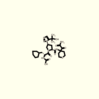 CC(C)(O)c1cnnn1[C@H]1C[C@@H](C(=O)NC2(C(=O)C(N)=O)CCSCC2)N(C(=O)[C@@H](CC2CCCCC2)NC(=O)O)C1